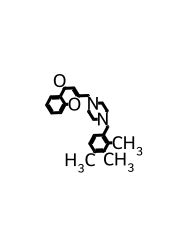 Cc1ccc(CN2CCN(Cc3cc(=O)c4ccccc4o3)CC2)c(C)c1C